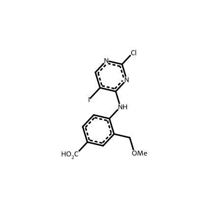 COCc1cc(C(=O)O)ccc1Nc1nc(Cl)ncc1I